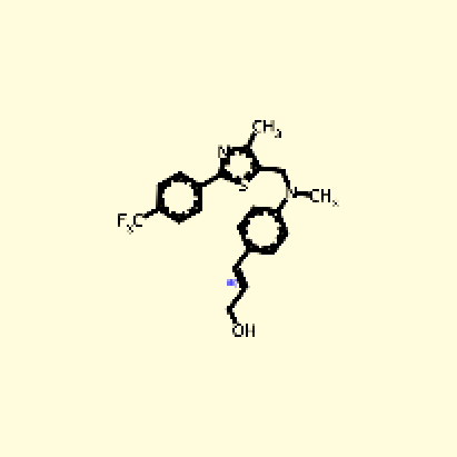 Cc1nc(-c2ccc(C(F)(F)F)cc2)sc1CN(C)c1ccc(/C=C/CO)cc1